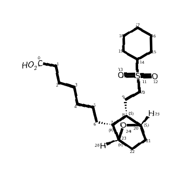 O=C(O)CCCCCC[C@@H]1[C@H](CCS(=O)(=O)C2CCCCC2)[C@@H]2CC[C@H]1O2